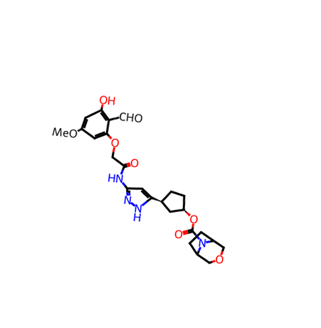 COc1cc(O)c(C=O)c(OCC(=O)Nc2cc([C@H]3CC[C@@H](OC(=O)N4C5CCC4COC5)C3)[nH]n2)c1